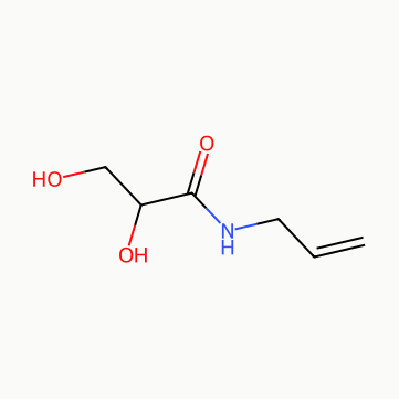 C=CCNC(=O)C(O)CO